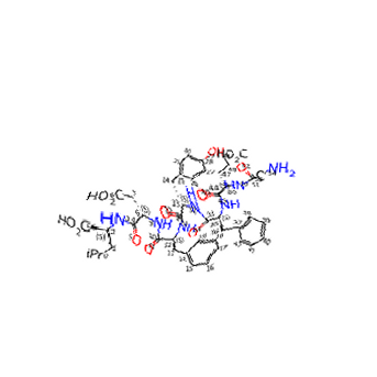 CC(C)C[C@H](NC(=O)[C@H](CC(=O)O)NC(=O)[C@H](Cc1ccccc1)NC(=O)[C@H](Cc1ccc(O)cc1)NC(=O)[C@H](Cc1ccccc1)NC(=O)[C@H](CCC(=O)O)NC(=O)CN)C(=O)O